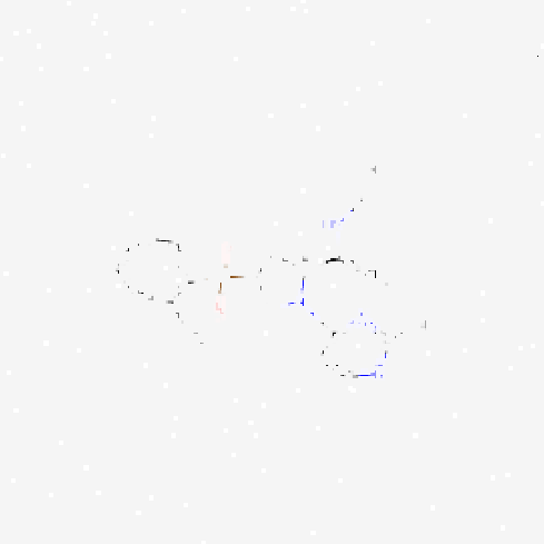 C=C(NCC#N)[C@@H]1C[C@H](S(=O)(=O)c2ccccc2C(F)(F)F)CN1c1ccnc(C#N)n1